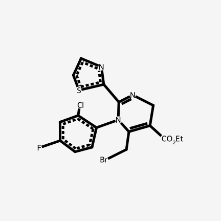 CCOC(=O)C1=C(CBr)N(c2ccc(F)cc2Cl)C(c2nccs2)=NC1